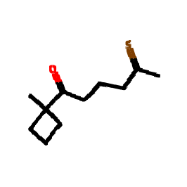 CC(=S)CCCC(=O)C1(C)CCC1